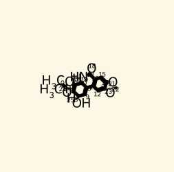 CC1(C)O[C@@H]2[C@H](O1)[C@@H](O)C=C1c3cc4c(cc3C(=O)N[C@H]12)OCO4